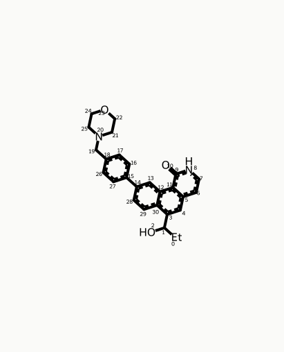 CCC(O)c1cc2cc[nH]c(=O)c2c2cc(-c3ccc(CN4CCOCC4)cc3)ccc12